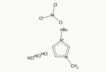 CCCC[n+]1ccn(C)c1.Cl.Cl.Cl.[Cl][Ni]([Cl])[Cl]